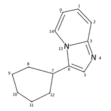 [c]1ccc2ncc(C3CCCCC3)n2c1